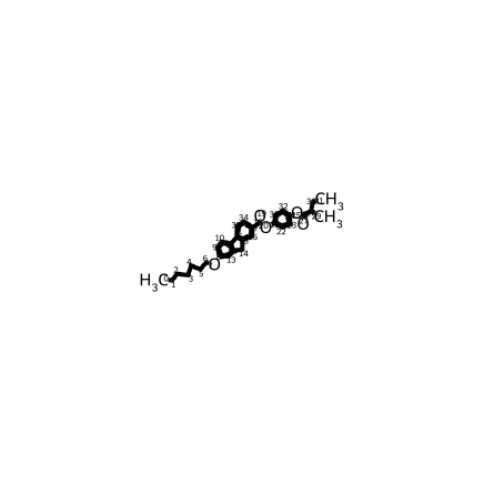 CCCCCCCOc1ccc2c(c1)Cc1cc(C(=O)Oc3ccc(OC(=O)C(C)CC)cc3)ccc1-2